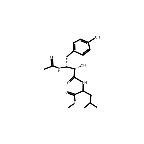 COC(=O)C(CC(C)C)NC(=O)[C@@H](O)[C@@H](Cc1ccc(O)cc1)NC(C)=O